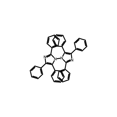 c1ccc(-c2nc(-c3ccccc3)n(-n3c(-c4ccccc4)nc(-c4ccccc4)c3-c3ccccc3)c2-c2ccccc2)cc1